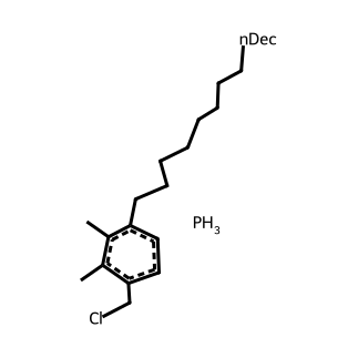 CCCCCCCCCCCCCCCCCCc1ccc(CCl)c(C)c1C.P